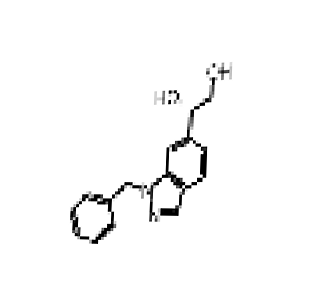 OC[C@@H](O)c1ccc2cnn(Cc3ccccc3)c2c1